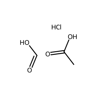 CC(=O)O.Cl.O=CO